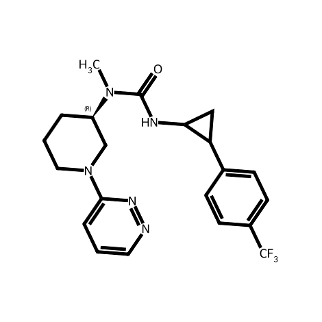 CN(C(=O)NC1CC1c1ccc(C(F)(F)F)cc1)[C@@H]1CCCN(c2cccnn2)C1